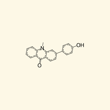 Cn1c2ccccc2c(=O)c2ccc(-c3ccc(O)cc3)cc21